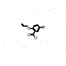 C=CCOc1ccc(Br)cc1C(=O)Cl